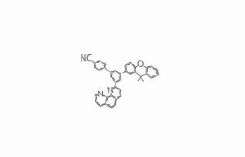 CC1(C)c2ccccc2Oc2ccc(-c3cc(-c4ccc(C#N)cc4)cc(-c4ccc5ccc6cccnc6c5n4)c3)cc21